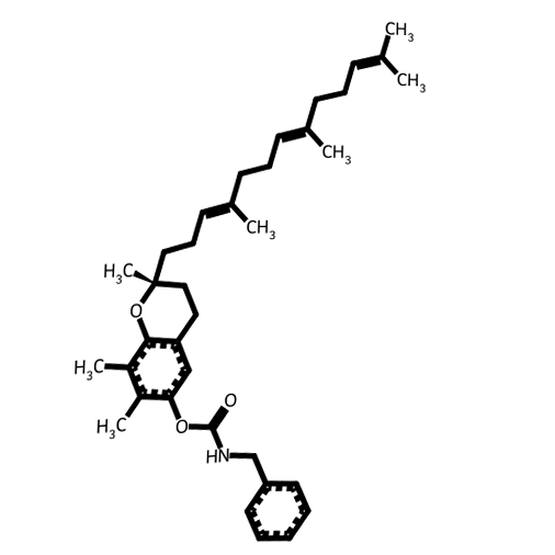 CC(C)=CCC/C(C)=C/CC/C(C)=C/CC[C@]1(C)CCc2cc(OC(=O)NCc3ccccc3)c(C)c(C)c2O1